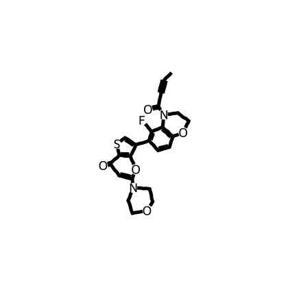 CC#CC(=O)N1CCOc2ccc(-c3csc4c(=O)cc(N5CCOCC5)oc34)c(F)c21